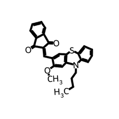 CCCCN1c2ccccc2Sc2cc(C=C3C(=O)c4ccccc4C3=O)c(OC)cc21